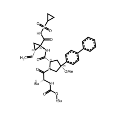 C=C[C@@H]1C[C@]1(NC(=O)[C@@H]1C[C@@](OC)(c2ccc(-c3ccccc3)cc2)CN1C(=O)C(NC(=O)OC(C)(C)C)[C@@H](C)CC)C(=O)NS(=O)(=O)C1CC1